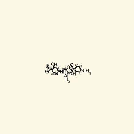 Cc1ccc(S(=O)(=O)OC(CNc2cc(C)c([N+](=O)[O-])cn2)C(=N)N)cc1